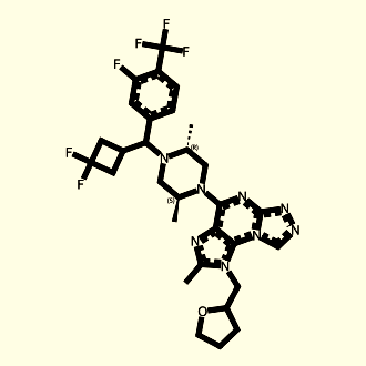 Cc1nc2c(N3C[C@@H](C)N(C(c4ccc(C(F)(F)F)c(F)c4)C4CC(F)(F)C4)C[C@@H]3C)nc3nncn3c2n1CC1CCCO1